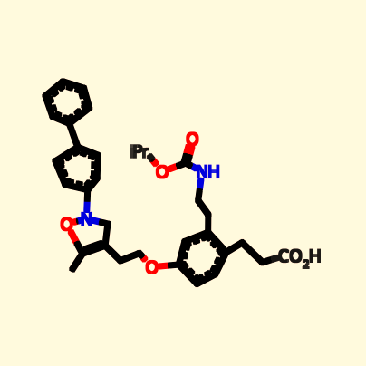 CC1=C(CCOc2ccc(CCC(=O)O)c(CCNC(=O)OC(C)C)c2)CN(c2ccc(-c3ccccc3)cc2)O1